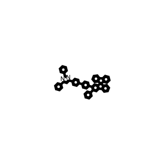 c1ccc(-c2cc(-c3ccc(-c4ccc(-c5cc6c(cc5-c5ccccc5)-c5ccccc5C65c6ccccc6-c6ccccc65)cc4)cc3)nc(-c3ccccc3)n2)cc1